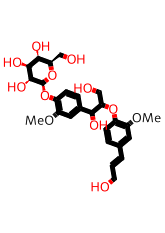 COc1cc(/C=C/CO)ccc1OC(CO)C(O)c1ccc(O[C@@H]2O[C@H](CO)[C@@H](O)[C@H](O)[C@H]2O)c(OC)c1